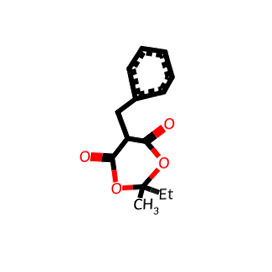 CCC1(C)OC(=O)C(Cc2ccccc2)C(=O)O1